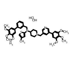 COc1cc(-c2cncc(CN3CCC(N(Cc4cccc(-c5cc(OC)c(OC)c(OC)c5)c4)c4cc(C)cs4)CC3)c2)cc(OC)c1OC.Cl.Cl